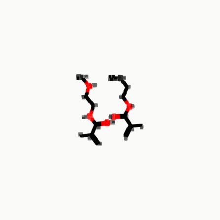 C=C(C)C(=O)OCCOC.C=C(C)C(=O)OCCOCC